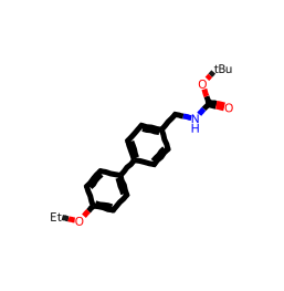 CCOc1ccc(-c2ccc(CNC(=O)OC(C)(C)C)cc2)cc1